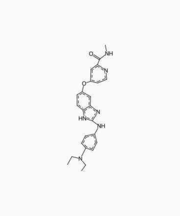 CCN(CC)c1ccc(Nc2nc3cc(Oc4ccnc(C(=O)NC)c4)ccc3[nH]2)cc1